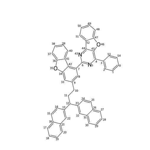 c1ccc(-c2nc(-c3cc(CCC(c4ccc5ccccc5c4)c4ccc5ccccc5c4)cc4oc5ccccc5c34)nc3c2oc2ccccc23)cc1